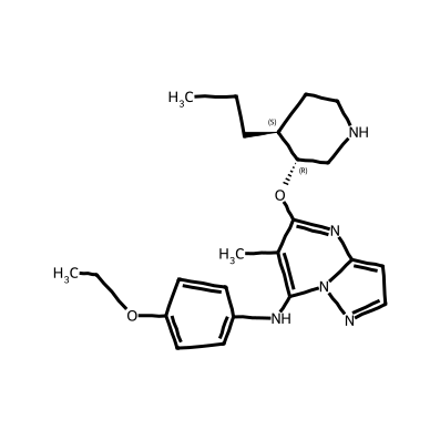 CCC[C@H]1CCNC[C@@H]1Oc1nc2ccnn2c(Nc2ccc(OCC)cc2)c1C